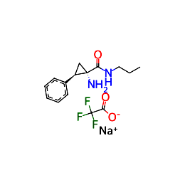 CCCNC(=O)[C@]1(N)C[C@@H]1c1ccccc1.O=C([O-])C(F)(F)F.[Na+]